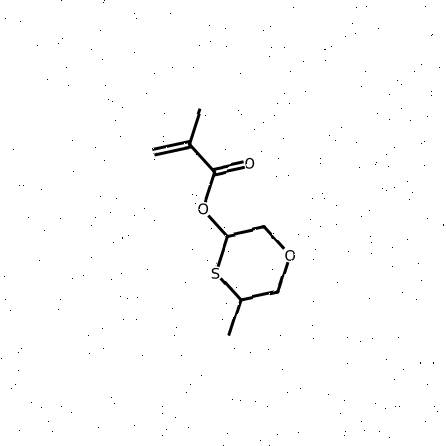 C=C(C)C(=O)OC1COCC(C)S1